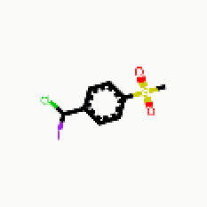 CS(=O)(=O)c1ccc(C(Cl)I)cc1